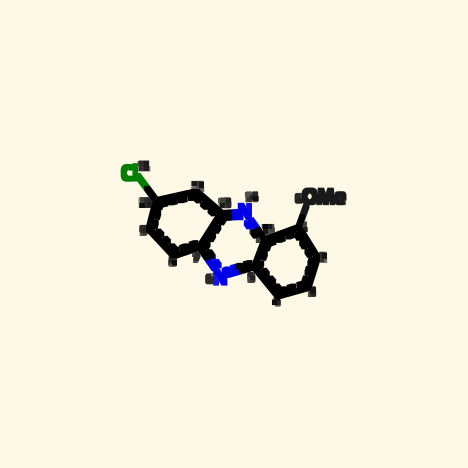 COc1cccc2nc3ccc(Cl)cc3nc12